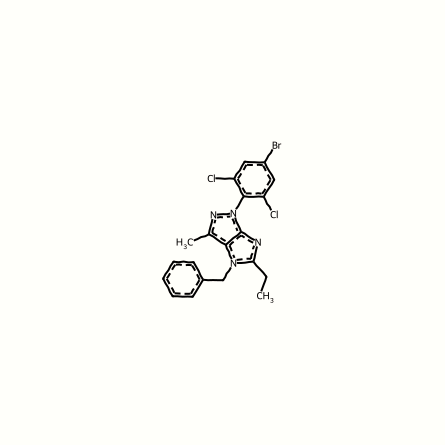 CCc1nc2c(c(C)nn2-c2c(Cl)cc(Br)cc2Cl)n1Cc1ccccc1